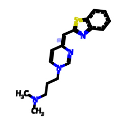 CN(C)CCCN1C=C/C(=C/c2nc3ccccc3s2)N=C1